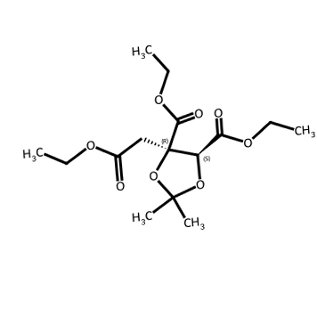 CCOC(=O)C[C@@]1(C(=O)OCC)OC(C)(C)O[C@@H]1C(=O)OCC